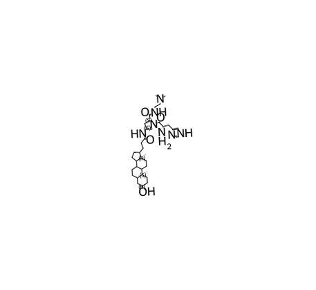 CN(C)CCNC(=O)[C@@H]1C[C@H](NC(=O)CCC2CCC3C4CCC5C[C@H](O)CC[C@]5(C)C4CC[C@]23C)CN1C(=O)C(N)Cc1c[nH]cn1